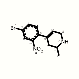 CC1CC(c2ccc(Br)cc2[N+](=O)[O-])=CCN1